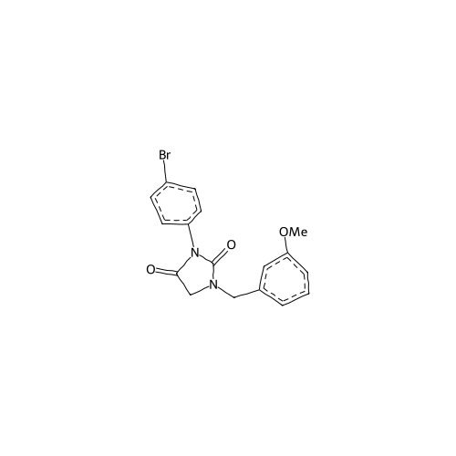 COc1cccc(CN2CC(=O)N(c3ccc(Br)cc3)C2=O)c1